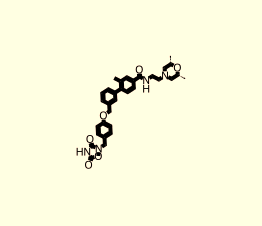 Cc1cc(C(=O)NCCN2C[C@@H](C)O[C@@H](C)C2)ccc1-c1cccc(COc2ccc(Cn3oc(=O)[nH]c3=O)cc2)c1